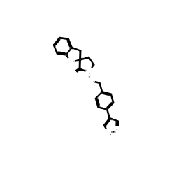 O=C1N(OCc2ccc(-c3cn[nH]c3)cc2)CCC12Cc1ccccc1O2